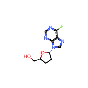 OC[C@@H]1CC[C@@H](n2cnc3c(F)ncnc32)O1